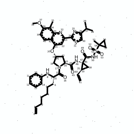 C=CCCCCC[C@H](Nc1ccccc1)C(=O)N1C[C@H](Oc2cc(-c3nc(C(C)C)cs3)nc3c(C)c(OC)ccc23)C[C@H]1C(=O)N[C@]1(C(=O)NS(=O)(=O)C2(C)CC2)C[C@H]1C=C